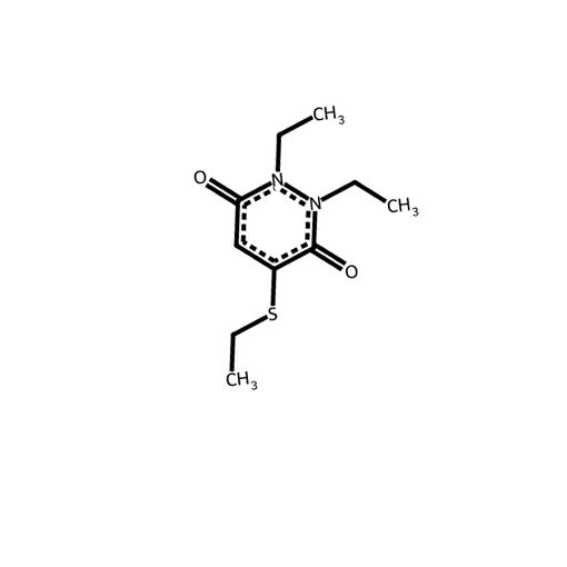 CCSc1cc(=O)n(CC)n(CC)c1=O